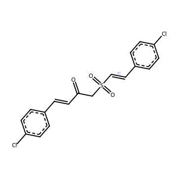 O=C(C=Cc1ccc(Cl)cc1)CS(=O)(=O)/C=C/c1ccc(Cl)cc1